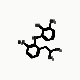 Cc1cccc(Pc2c(C)cccc2CN(C)C)c1O